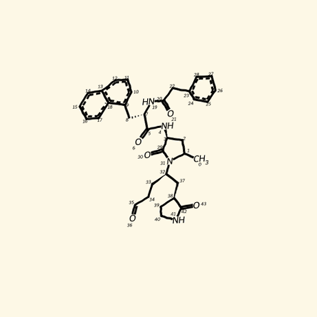 CC1C[C@H](NC(=O)[C@H](Cc2cccc3ccccc23)NC(=O)Cc2ccccc2)C(=O)N1[C@H](CCC=O)C[C@@H]1CCNC1=O